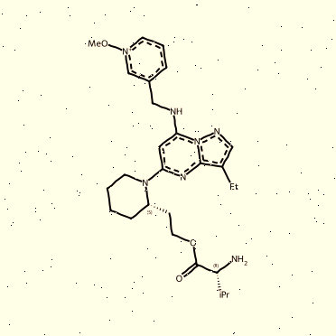 CCc1cnn2c(NCc3ccc[n+](OC)c3)cc(N3CCCC[C@H]3CCOC(=O)[C@H](N)C(C)C)nc12